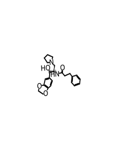 O=C(CCc1ccccc1)N[C@H](CN1CCCC1)[C@H](O)c1ccc2c(c1)OCCO2